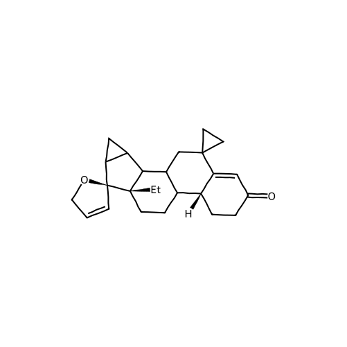 CC[C@]12CCC3C(CC4(CC4)C4=CC(=O)CC[C@@H]43)C1C1CC1[C@@]21C=CCO1